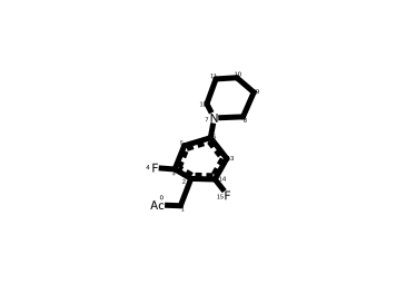 CC(=O)Cc1c(F)cc(N2CCCCC2)cc1F